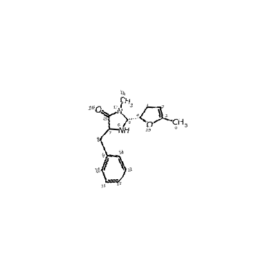 CC1=CC[C@@H](C2NC(Cc3ccccc3)C(=O)N2C)O1